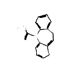 NC(=O)N1C2=CC=CCC2=CCc2ccccc21